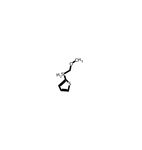 COC[SiH2]c1cccs1